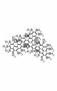 Bc1c(B)c(B)c(-c2c(B)c(-c3c(B)c(B)c(B)c(-c4c(B)c(B)c5c(B)c(B)c6c(B)c(B)c(B)c7c(B)c(B)c4c5c67)c3B)c(B)c(-c3c(B)c(B)c(B)c(-c4c(B)c(B)c5c(B)c(B)c6c(B)c(B)c(B)c7c(B)c(B)c4c5c67)c3B)c2B)c(B)c1B